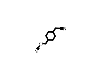 N#CCC1CCC(COC#N)CC1